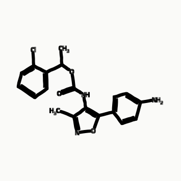 Cc1noc(-c2ccc(N)cc2)c1NC(=O)OC(C)c1ccccc1Cl